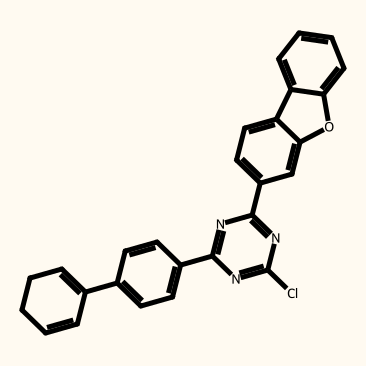 Clc1nc(-c2ccc(C3=CCCC=C3)cc2)nc(-c2ccc3c(c2)oc2ccccc23)n1